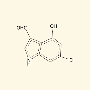 O=Cc1c[nH]c2cc(Cl)cc(O)c12